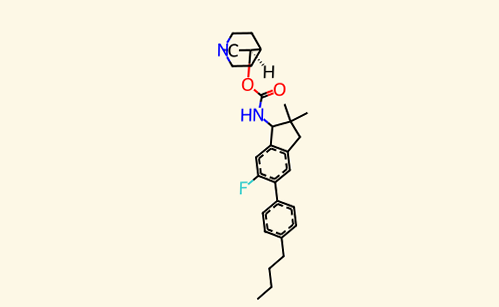 CCCCc1ccc(-c2cc3c(cc2F)C(NC(=O)O[C@H]2CN4CCC2CC4)C(C)(C)C3)cc1